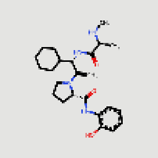 C=C([C@@H](NC(=O)[C@H](C)NC)C1CCCCC1)N1CCC[C@H]1C(=O)Nc1ccccc1O